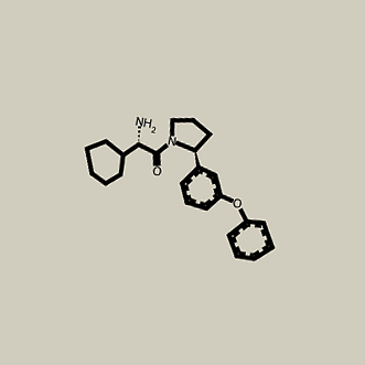 N[C@H](C(=O)N1CCC[C@H]1c1cccc(Oc2ccccc2)c1)C1CCCCC1